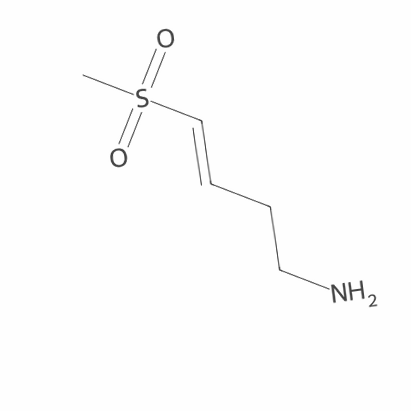 CS(=O)(=O)/C=C/CCN